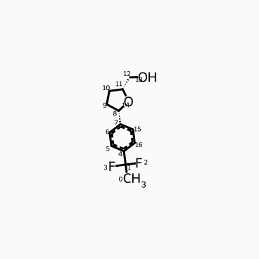 CC(F)(F)c1ccc([C@@H]2CC[C@H](CO)O2)cc1